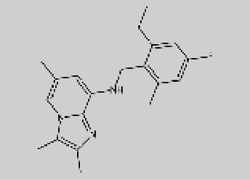 CCc1cc(F)cc(C)c1CNc1cc(C)cn2c(C)c(C)nc12